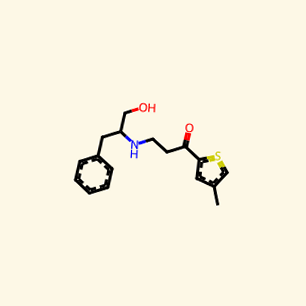 Cc1csc(C(=O)CCNC(CO)Cc2ccccc2)c1